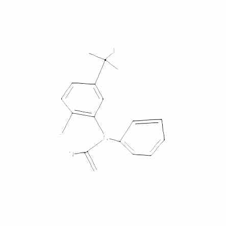 NC(=O)N(c1cc[c]cc1)c1cc(C(F)(F)F)ccc1F